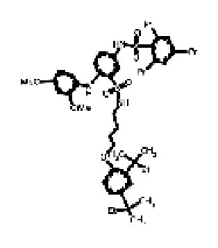 CCC(C)(C)c1ccc(OCCCCNS(=O)(=O)c2cc(NS(=O)(=O)c3c(C(C)C)cc(C(C)C)cc3C(C)C)ccc2Nc2ccc(OC)cc2OC)c(C(C)(C)CC)c1